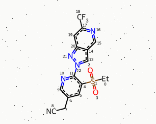 CCS(=O)(=O)c1cc(CC#N)cnc1-n1cc2cnc(C(F)(F)F)cc2n1